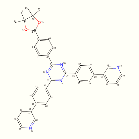 CC1(C)OB(c2ccc(-c3nc(-c4ccc(-c5cccnc5)cc4)nc(-c4ccc(-c5cccnc5)cc4)n3)cc2)OC1(C)C